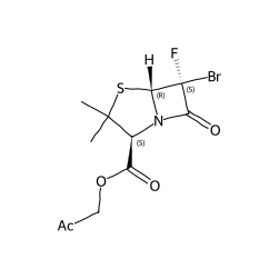 CC(=O)COC(=O)[C@@H]1N2C(=O)[C@](F)(Br)[C@H]2SC1(C)C